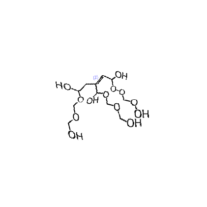 OCOCOC(O)C/C(=C/C(O)OOCOO)C(O)OCOCO